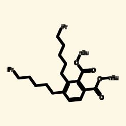 CCCCOC(=O)c1ccc(CCCCCC(C)C)c(CCCCCC(C)C)c1C(=O)OCCCC